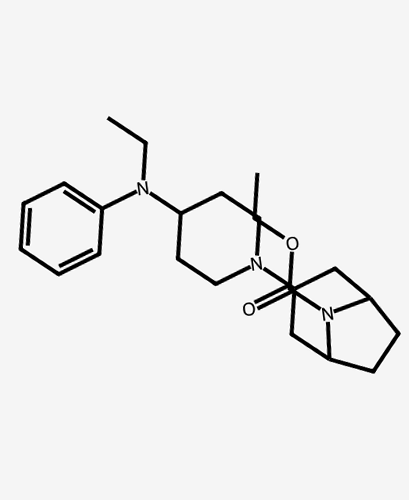 CCOC(=O)N1C2CCC1CC(N1CCC(N(CC)c3ccccc3)CC1)C2